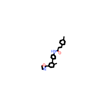 Cc1ccc(C=CC(=O)Nc2ccc(-c3cc(-c4ncco4)ccc3C)cc2)cc1